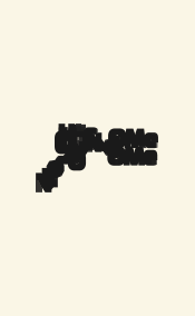 COc1cc(CCN(C)CCCNC(=O)C/C=C/c2ccc(-n3ccnc3)cc2)cc(OC)c1.[Cl-].[Cl-].[H+].[H+]